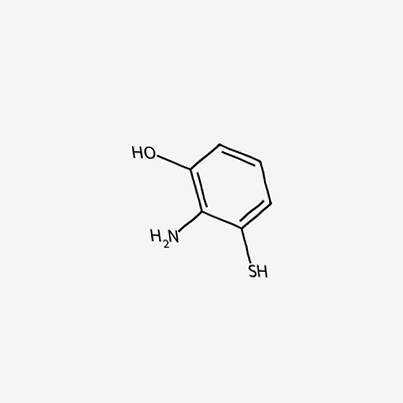 Nc1c(O)cccc1S